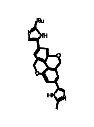 CCC(C)c1ncc(-c2cc3c4c(c2)OCc2cc(-c5cnc(C)[nH]5)cc(c2-4)OC3)[nH]1